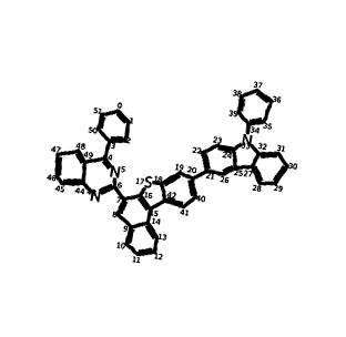 c1ccc(-c2nc(-c3cc4ccccc4c4c3sc3cc(-c5ccc6c(c5)c5ccccc5n6-c5ccccc5)ccc34)nc3ccccc23)cc1